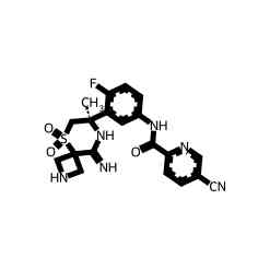 C[C@@]1(c2cc(NC(=O)c3ccc(C#N)cn3)ccc2F)CS(=O)(=O)C2(CNC2)C(=N)N1